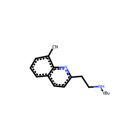 CC(C)(C)NCCc1ccc2cccc(C#N)c2n1